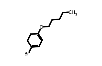 CCCCCOC1=CC=C(Br)CC1